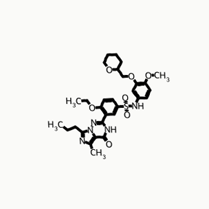 CCCc1nc(C)c2c(=O)[nH]c(-c3cc(S(=O)(=O)Nc4ccc(OC)c(OCC5CCCCO5)c4)ccc3OCC)nn12